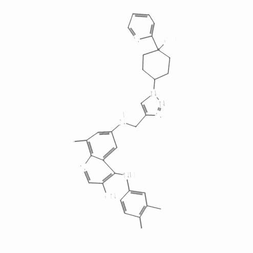 N#Cc1cnc2c(Cl)cc(NCc3cn(C4CCC(O)(c5ccccn5)CC4)nn3)cc2c1Nc1ccc(F)c(Cl)c1